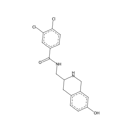 O=C(NCC1Cc2ccc(O)cc2CN1)c1ccc(Cl)c(Cl)c1